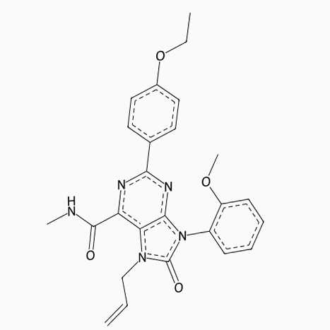 C=CCn1c(=O)n(-c2ccccc2OC)c2nc(-c3ccc(OCC)cc3)nc(C(=O)NC)c21